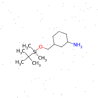 CC(C)(C)[Si](C)(C)OCC1CCCC(N)C1